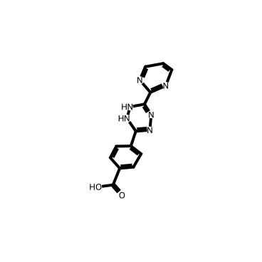 O=C(O)c1ccc(C2=NN=C(c3ncccn3)NN2)cc1